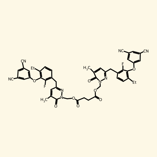 CCc1ccc(Cc2cc(C)c(=O)n(COC(=O)CCC(=O)OCn3nc(Cc4ccc(CC)c(Oc5cc(C#N)cc(C#N)c5)c4F)cc(C)c3=O)n2)c(F)c1Oc1cc(C#N)cc(C#N)c1